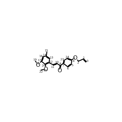 C=CCOc1ccc(C(=O)C=Cc2cc(C)cc(OC)c2OC)cc1